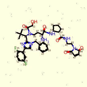 CC(C)(C)[C@H](c1nc(-c2cc(F)ccc2F)cn1Cc1ccccc1)N(CC[C@H](N)C(=O)N[C@@H]1CCC[C@@H]1C(=O)NCCN1C(=O)C=CC1=O)C(=O)CO